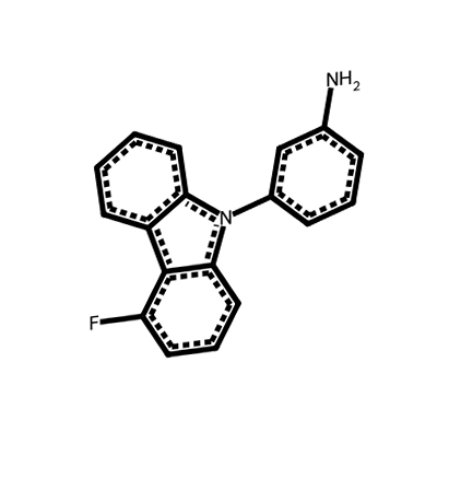 Nc1cccc(-n2c3ccccc3c3c(F)cccc32)c1